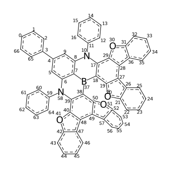 c1ccc(-c2cc3c4c(c2)N(c2ccccc2)c2c(c5oc6ccccc6c5c5c2oc2ccccc25)B4c2c(c4oc5ccccc5c4c4c2oc2ccccc24)N3c2ccccc2)cc1